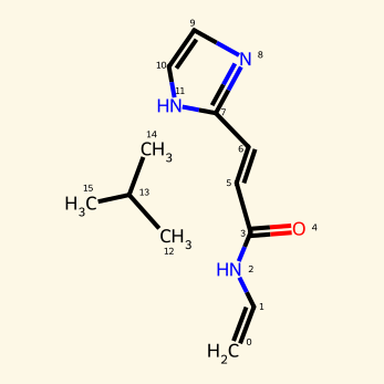 C=CNC(=O)C=Cc1ncc[nH]1.CC(C)C